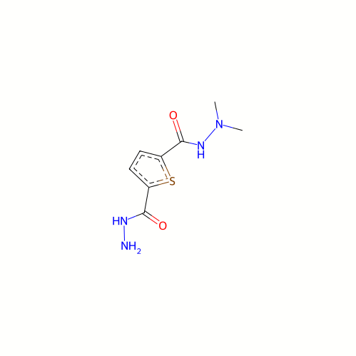 CN(C)NC(=O)c1ccc(C(=O)NN)s1